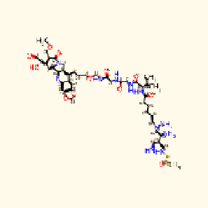 COCc1c([C@H](O)C=O)cc2n(c1=O)Cc1c-2nc2cc3c(cc2c1CCCOCNC(=O)CNC(=O)CNC(=O)C(NC(=O)CCCCCN(N)/C=C(N)/C(C=N)=C/NS[S+](C)[O-])C(C)C)OCO3